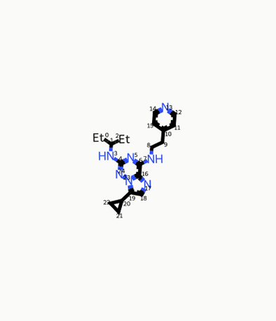 CCC(CC)Nc1nc(NCCc2ccncc2)c2ncc(C3CC3)n2n1